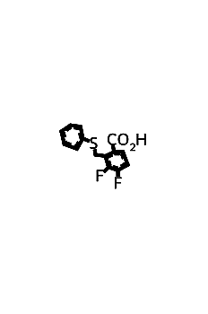 O=C(O)c1ccc(F)c(F)c1CSc1ccccc1